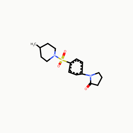 CC1CCN(S(=O)(=O)c2ccc(N3CCCC3=O)cc2)CC1